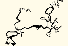 CCN1C(=O)C(=CC=CC=CC=C2N(CCCCS(=O)(=O)O)c3ccc4ccccc4c3C2(C)C)C(=O)N(c2ccc(C(=O)O)cc2)C1=O